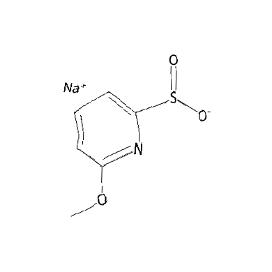 COc1cccc(S(=O)[O-])n1.[Na+]